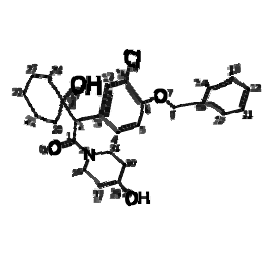 O=C(C(c1ccc(OCc2ccccc2)c(Cl)c1)C1(O)CCCCC1)N1CCC(O)CC1